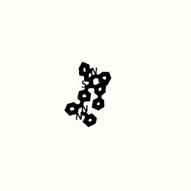 c1ccc(-c2cccc(-c3c(-c4ccc(-c5nc(-c6ccccc6)nc6ccccc56)cc4)sc4c3c(-c3ccccc3)nc3ccccc34)c2)cc1